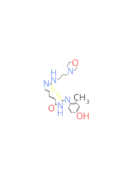 Cc1cc(O)ccc1N=C1NC(=O)C(=Cc2cnc(NCCCN3CCOCC3)s2)S1